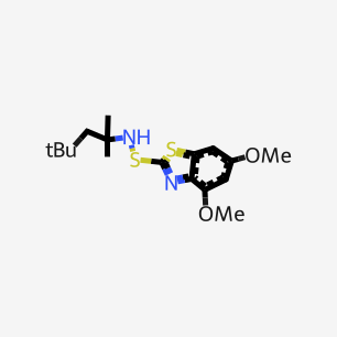 COc1cc(OC)c2nc(SNC(C)(C)CC(C)(C)C)sc2c1